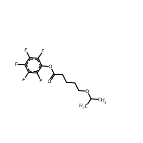 CC(C)OCCCCC(=O)Oc1c(F)c(F)c(F)c(F)c1F